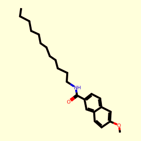 CCCCCCCCCCCCNC(=O)c1ccc2cc(OC)ccc2c1